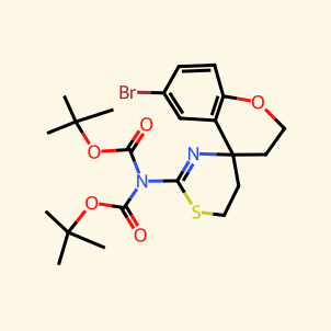 CC(C)(C)OC(=O)N(C(=O)OC(C)(C)C)C1=NC2(CCOc3ccc(Br)cc32)CCS1